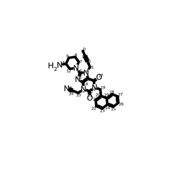 CC#CCn1c(N2CCCC(N)C2)nc2c1c(=O)n(Cc1cccc3ccccc13)c(=O)n2CC#N